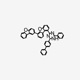 c1ccc(C2=NC(c3cccc4oc5c(-c6ccc7oc8ccccc8c7c6)cccc5c34)=NC(c3ccc(-c4ccccc4)cc3)N2)cc1